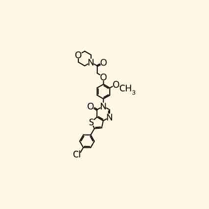 COc1cc(-n2cnc3cc(-c4ccc(Cl)cc4)sc3c2=O)ccc1OCC(=O)N1CCOCC1